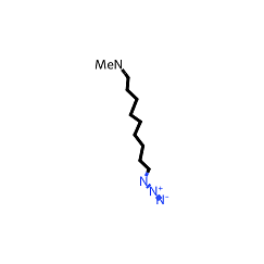 CNCCCCCCCCCN=[N+]=[N-]